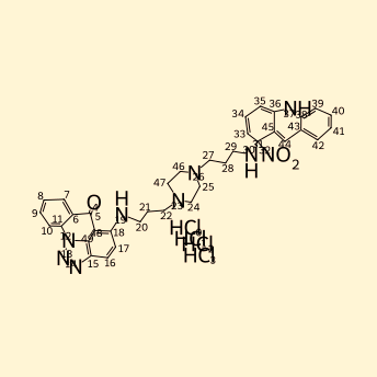 Cl.Cl.Cl.Cl.O=c1c2ccccc2n2nnc3ccc(NCCCN4CCN(CCCNC5([N+](=O)[O-])C=CC=C6Nc7ccccc7C=C65)CC4)c1c32